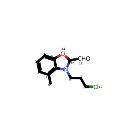 Cc1cccc2c1N(CCCCl)C(C=O)O2